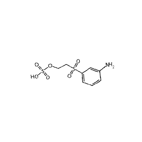 Nc1cccc(S(=O)(=O)CCOS(=O)(=O)O)c1